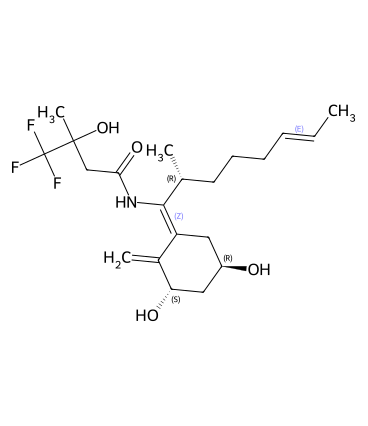 C=C1/C(=C(\NC(=O)CC(C)(O)C(F)(F)F)[C@H](C)CCC/C=C/C)C[C@@H](O)C[C@@H]1O